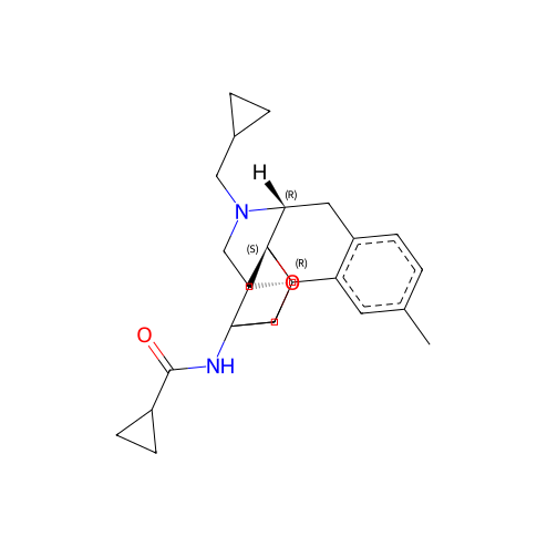 Cc1ccc2c(c1)[C@]13CCN(CC4CC4)[C@H](C2)[C@]12CCC(NC(=O)C1CC1)(CO2)C3